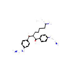 [N-]=[N+]=Nc1ccc(C(=O)C(CCCCC(N)N)C(=O)c2ccc(N=[N+]=[N-])cc2)cc1